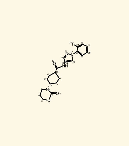 O=C1OCCCN1[C@H]1CC[C@H](C(=O)Nc2cnn(-c3ccccc3F)c2)CC1